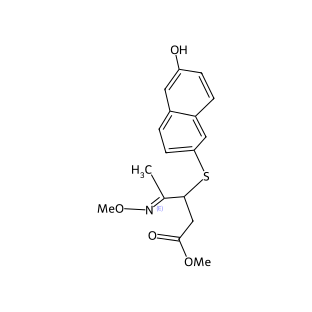 CO/N=C(\C)C(CC(=O)OC)Sc1ccc2cc(O)ccc2c1